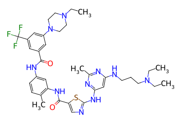 CCN(CC)CCCNc1cc(Nc2ncc(C(=O)Nc3cc(NC(=O)c4cc(N5CCN(CC)CC5)cc(C(F)(F)F)c4)ccc3C)s2)nc(C)n1